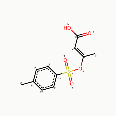 CC(=CC(=O)O)OS(=O)(=O)c1ccc(C)cc1